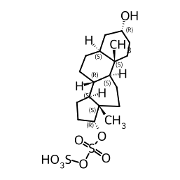 C[C@]12CC[C@@H](O)C[C@@H]1CC[C@@H]1[C@@H]2CC[C@]2(C)[C@H](OS(=O)(=O)OS(=O)(=O)O)CC[C@@H]12